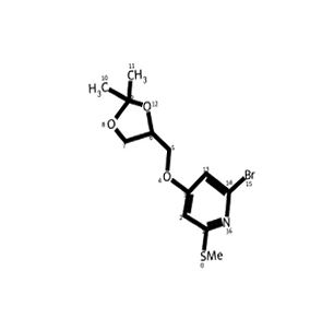 CSc1cc(OCC2COC(C)(C)O2)cc(Br)n1